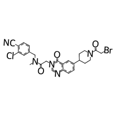 CN(Cc1ccc(C#N)c(Cl)c1)C(=O)Cn1cnc2ccc(C3CCN(C(=O)CBr)CC3)cc2c1=O